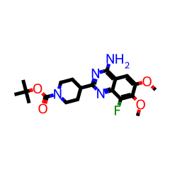 COc1cc2c(N)nc(C3CCN(C(=O)OC(C)(C)C)CC3)nc2c(F)c1OC